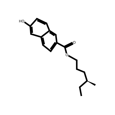 CC[C@H](C)CCCOC(=O)c1ccc2cc(O)ccc2c1